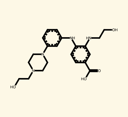 O=C(O)c1ccc(Nc2cccc(N3CCN(CCO)CC3)c2)c(NCCO)c1